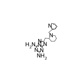 Nc1nc(N)n2nc(CC3CCCCN3Cc3ccccn3)nc2n1